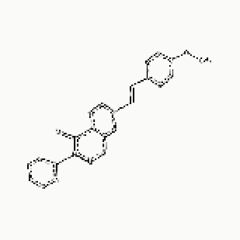 COc1ccc(/C=C/c2ccc3c(=O)n(-c4ccccn4)ncc3c2)cc1